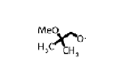 COC(C)(C)C[O]